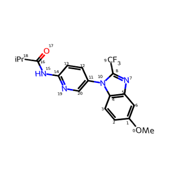 COc1ccc2c(c1)nc(C(F)(F)F)n2-c1ccc(NC(=O)C(C)C)nc1